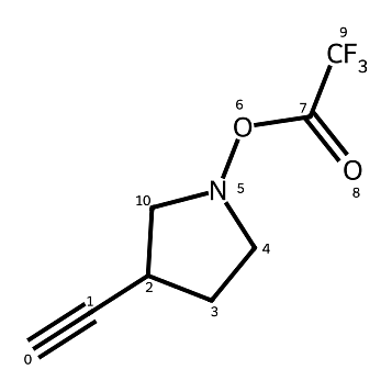 C#CC1CCN(OC(=O)C(F)(F)F)C1